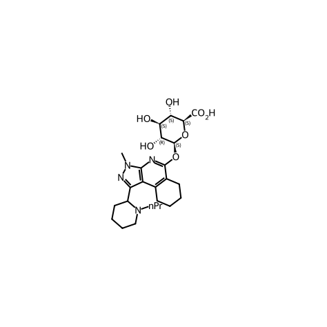 CCCN1CCCCC1c1nn(C)c2nc(O[C@@H]3O[C@H](C(=O)O)[C@@H](O)[C@H](O)[C@H]3O)c3c(c12)CCCC3